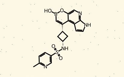 Cc1ccc(S(=O)(=O)N[C@H]2C[C@@H](C3=CB(O)Oc4cnc5[nH]ccc5c43)C2)cn1